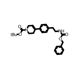 CC(C)(C)OC(=O)N1CC=C(c2ccc(CCNC(=O)OCc3ccccc3)cc2)CC1